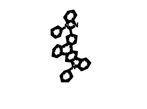 c1ccc(-n2c(-c3ccc4c(c3)c3ccccc3c3cc5c(cc43)c3ccccc3n5-c3ccccc3)nc3ccccc32)cc1